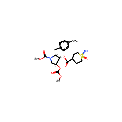 COc1ccc(C[C@@H]2[C@H](OC(=O)C3CCS(=N)(=O)CC3)[C@@H](OC(=O)OC(C)(C)C)CN2C(=O)OC(C)(C)C)cc1